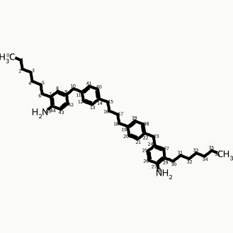 CCCCCCCc1cc(Cc2ccc(CCCCc3ccc(Cc4ccc(N)c(CCCCCCC)c4)cc3)cc2)ccc1N